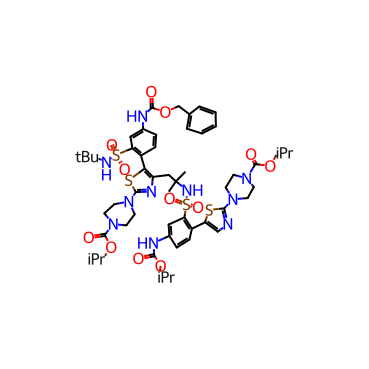 CC(C)OC(=O)Nc1ccc(-c2cnc(N3CCN(C(=O)OC(C)C)CC3)s2)c(S(=O)(=O)NC(C)(C)Cc2nc(N3CCN(C(=O)OC(C)C)CC3)sc2-c2ccc(NC(=O)OCc3ccccc3)cc2S(=O)(=O)NC(C)(C)C)c1